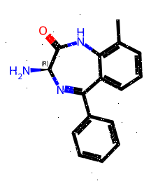 Cc1cccc2c1NC(=O)[C@H](N)N=C2c1ccccc1